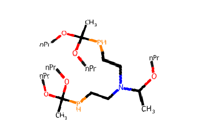 CCCOC(C)N(CCPC(C)(OCCC)OCCC)CCPC(C)(OCCC)OCCC